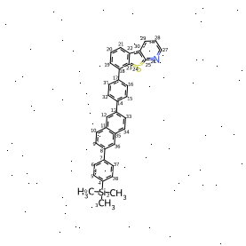 C[Si](C)(C)c1ccc(-c2ccc3cc(-c4ccc(-c5cccc6c5sc5ncccc56)cc4)ccc3c2)cc1